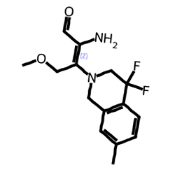 COC/C(=C(/N)C=O)N1Cc2cc(C)ccc2C(F)(F)C1